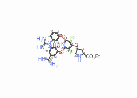 CCOC(=O)C1CC(Oc2c(F)c(Oc3cccc(NC(=N)N)c3)nc(Oc3cc(C(=N)N)ccc3O)c2F)CN1